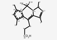 CC1=BC(C)N2C1=C(CCC(=O)O)c1c(C)cc(C)n1C2(F)F